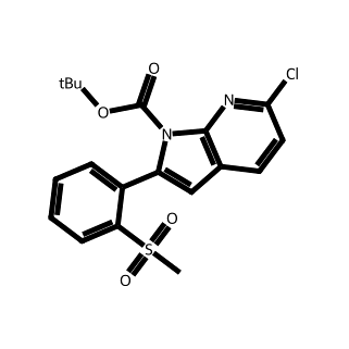 CC(C)(C)OC(=O)n1c(-c2ccccc2S(C)(=O)=O)cc2ccc(Cl)nc21